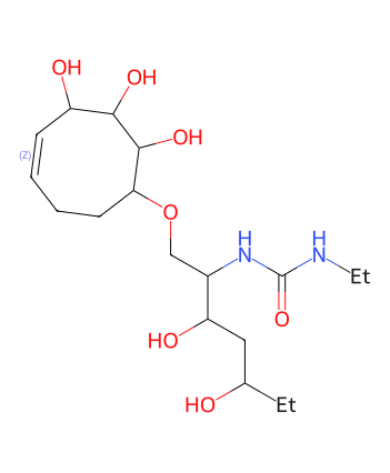 CCNC(=O)NC(COC1CC/C=C\C(O)C(O)C1O)C(O)CC(O)CC